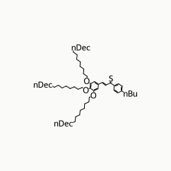 CCCCCCCCCCCCCCCCCCOc1cc(C=CC(=S)c2ccc(CCCC)cc2)cc(OCCCCCCCCCCCCCCCCCC)c1OCCCCCCCCCCCCCCCCCC